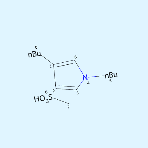 CCCCc1ccn(CCCC)c1.CS(=O)(=O)O